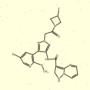 COc1ncc(Cl)cc1-c1nn(CC(=O)N2CC(F)C2)cc1NC(=O)C1=C2N=CC=CN2NC1